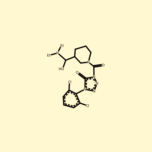 CCN(CC)C(O)C1CCCN(C(=O)n2nnn(-c3c(Cl)cccc3Cl)c2=O)C1